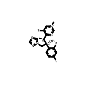 C[C@@H](c1nc[n+](C)cc1F)[C@](O)(Cn1cncn1)c1ccc(F)cc1F